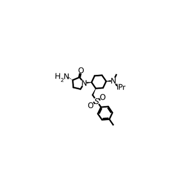 Cc1ccc(S(=O)(=O)C[C@@H]2C[C@H](N(C)C(C)C)CC[C@@H]2N2CC[C@H](N)C2=O)cc1